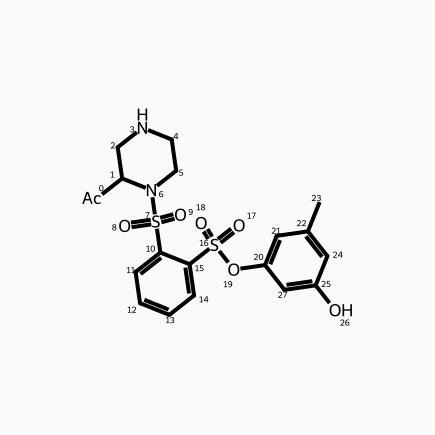 CC(=O)C1CNCCN1S(=O)(=O)c1ccccc1S(=O)(=O)Oc1cc(C)cc(O)c1